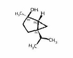 CC(C)[C@@]12CC[C@@](C)(O)[C@@H]1C2